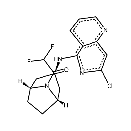 O=C(C(F)F)N1[C@@H]2CC[C@H]1C[C@H](Nc1nc(Cl)cc3ncccc13)C2